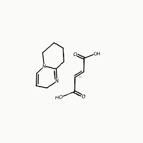 C1=CN2CCCCC2=NC1.O=C(O)/C=C/C(=O)O